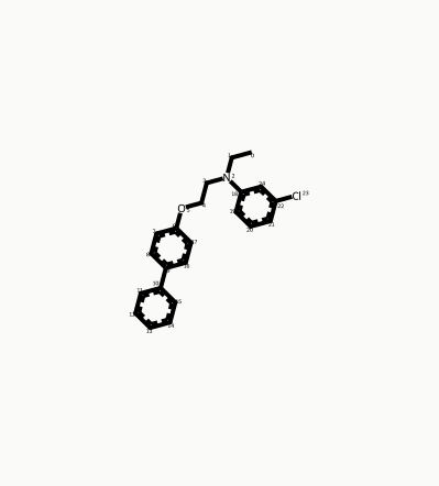 CCN(CCOc1ccc(-c2ccccc2)cc1)c1cccc(Cl)c1